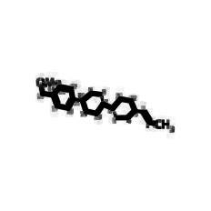 CC=C[C@H]1CC[C@H]([C@H]2CC[C@H](c3ccc(COC)cc3)CC2)CC1